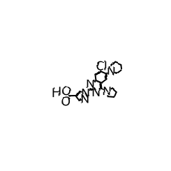 O=C(O)c1cnn(-c2nc(N3CCCC3)c3cc(N4CCCCC4)c(Cl)cc3n2)c1